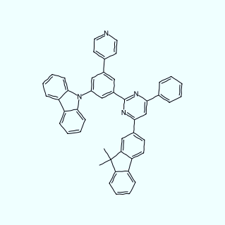 CC1(C)c2ccccc2-c2ccc(-c3cc(-c4ccccc4)nc(-c4cc(-c5ccncc5)cc(-n5c6ccccc6c6ccccc65)c4)n3)cc21